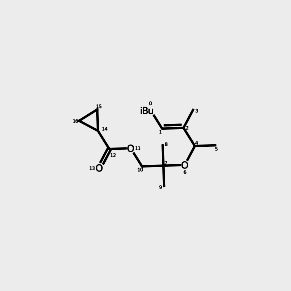 CCC(C)C=C(C)C(C)OC(C)(C)COC(=O)C1CC1